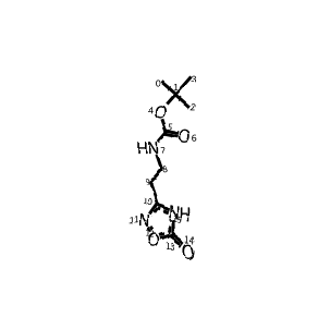 CC(C)(C)OC(=O)NCCc1noc(=O)[nH]1